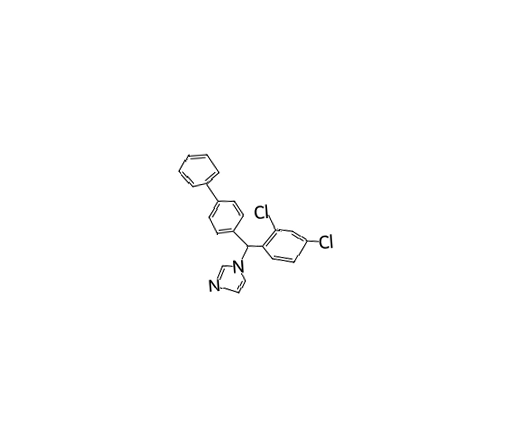 Clc1ccc(C(c2ccc(-c3ccccc3)cc2)n2ccnc2)c(Cl)c1